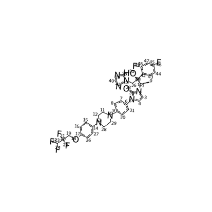 C[C@@H](n1ccn(-c2ccc(N3CCN(c4ccc(OCC(F)(F)C(F)F)cc4)CC3)cc2)c1=O)[C@](O)(Cn1cncn1)c1ccc(F)cc1F